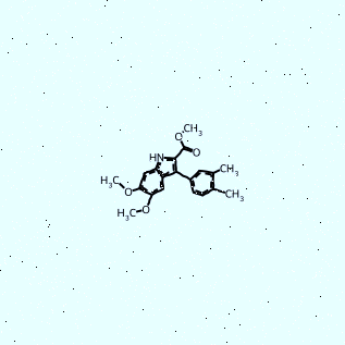 COC(=O)c1[nH]c2cc(OC)c(OC)cc2c1-c1ccc(C)c(C)c1